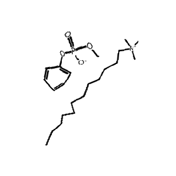 CCCCCCCCCCCC[N+](C)(C)C.COP(=O)([O-])Oc1ccccc1